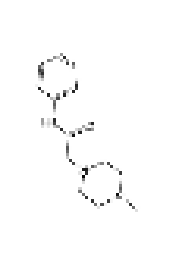 CN1CCN(CC(=O)Nc2cc[c]cc2)CC1